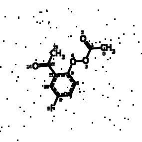 CC(=O)OOc1ccc(F)cc1C(C)=O